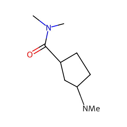 CNC1CCC(C(=O)N(C)C)C1